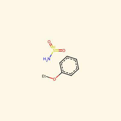 CCOc1ccccc1.N[SH](=O)=O